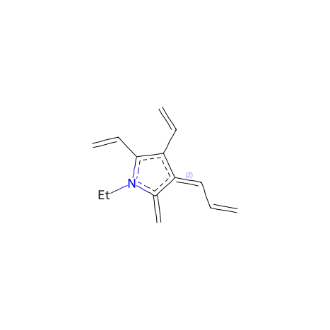 C=C/C=c1/c(C=C)c(C=C)n(CC)c1=C